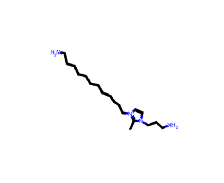 Cc1n(CCCN)cc[n+]1CCCCCCCCCCCCN